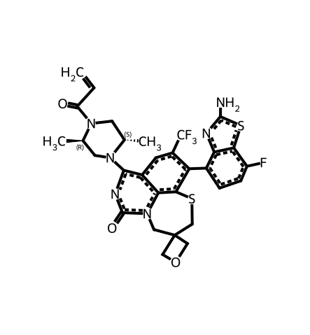 C=CC(=O)N1C[C@H](C)N(c2nc(=O)n3c4c(c(-c5ccc(F)c6sc(N)nc56)c(C(F)(F)F)cc24)SCC2(COC2)C3)C[C@H]1C